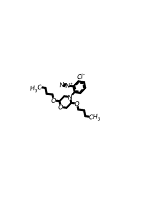 CCCCOC1CN(c2ccccc2[N+]#N)C(OCCCC)CO1.[Cl-]